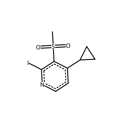 CS(=O)(=O)c1c(C2CC2)ccnc1I